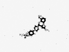 COc1cccc(-n2nc(C)cc2C(=O)N2CCN(c3ccc(NS(C)(=O)=O)cc3)CC2)c1